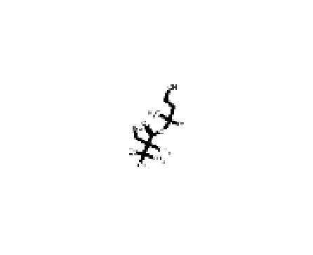 CCC(C)(CCO)OC(=O)C(C)(CC(C)(C)C)C(C)(C)CC